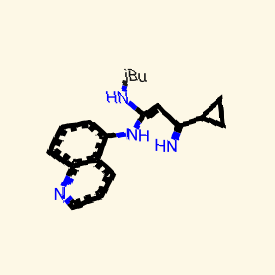 CCC(C)N/C(=C/C(=N)C1CC1)Nc1cccc2ncccc12